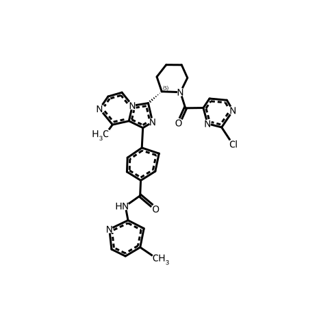 Cc1ccnc(NC(=O)c2ccc(-c3nc([C@@H]4CCCCN4C(=O)c4ccnc(Cl)n4)n4ccnc(C)c34)cc2)c1